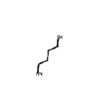 CCCCCC[CH]S